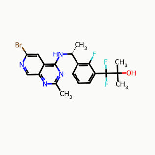 Cc1nc(N[C@H](C)c2cccc(C(F)(F)C(C)(C)O)c2F)c2cc(Br)ncc2n1